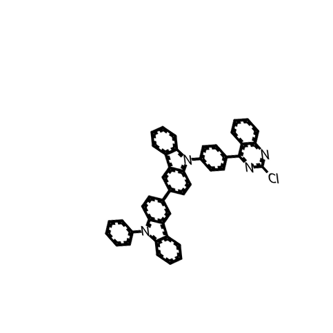 Clc1nc(-c2ccc(-n3c4ccccc4c4cc(-c5ccc6c(c5)c5ccccc5n6-c5ccccc5)ccc43)cc2)c2ccccc2n1